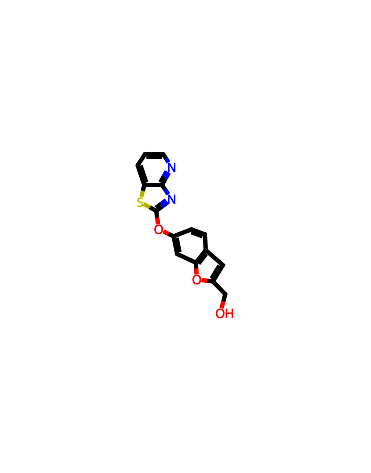 OCc1cc2ccc(Oc3nc4ncccc4s3)cc2o1